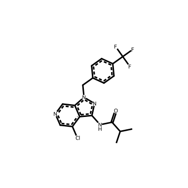 CC(C)C(=O)Nc1nn(Cc2ccc(C(F)(F)F)cc2)c2cncc(Cl)c12